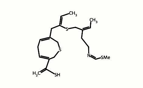 C=C(S)/C1=C/C/C=C(/C/C(=C/C)SC/C(=C\C)CC/N=C\SC)CSC1